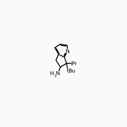 CC(C)C1(C(C)(C)C)c2ncccc2CC1N